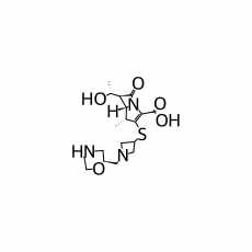 C[C@@H](O)[C@H]1C(=O)N2C(C(=O)O)=C(SC3CN(C[C@@H]4CNCCO4)C3)[C@H](C)[C@H]12